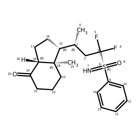 C[C@H](CC(F)(F)[S@](=N)(=O)c1ccccc1)[C@H]1CC[C@H]2C(=O)CCC[C@]12C